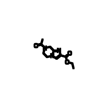 CCOC(=O)c1cn2c(n1)CN(C(C)=O)CC2